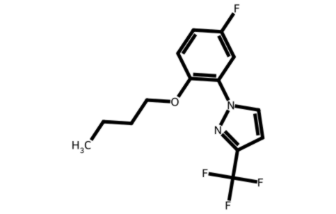 CCCCOc1ccc(F)cc1-n1ccc(C(F)(F)F)n1